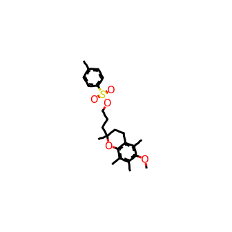 COc1c(C)c(C)c2c(c1C)CCC(C)(CCCOS(=O)(=O)c1ccc(C)cc1)O2